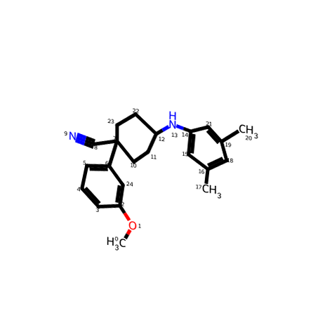 COc1cccc(C2(C#N)CCC(Nc3cc(C)cc(C)c3)CC2)c1